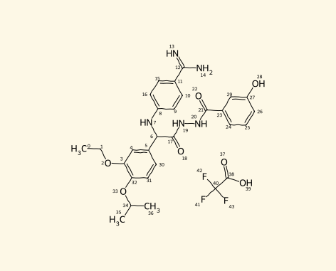 CCOc1cc(C(Nc2ccc(C(=N)N)cc2)C(=O)NNC(=O)c2cccc(O)c2)ccc1OC(C)C.O=C(O)C(F)(F)F